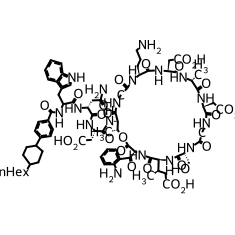 CCCCCCC1CCC(c2ccc(C(=O)NC(Cc3c[nH]c4ccccc34)C(=O)N[C@H](CC(N)=O)C(=O)N[C@@H](CC(=O)O)C(=O)N[C@@H]3C(=O)NCC(=O)N[C@@H](CCCN)C(=O)N[C@@H](CC(=O)O)C(=O)N[C@H](C)C(=O)N[C@@H](CC(=O)O)C(=O)NCC(=O)N[C@H](CO)C(=O)N[C@@H]([C@H](C)CC(=O)O)C(=O)N[C@@H](C(=O)c4ccccc4N)C(=O)O[C@@H]3C)cc2)CC1